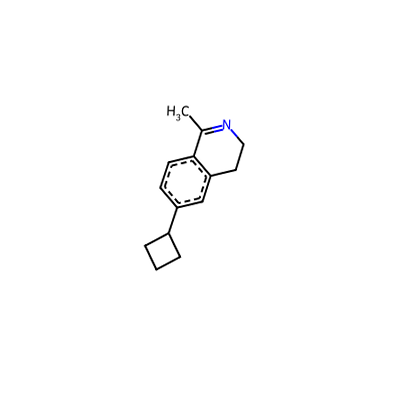 CC1=NCCc2cc(C3CCC3)ccc21